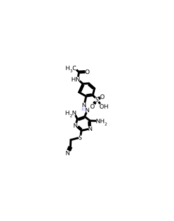 CC(=O)Nc1ccc(S(=O)(=O)O)c(/N=N/c2c(N)nc(SCC#N)nc2N)c1